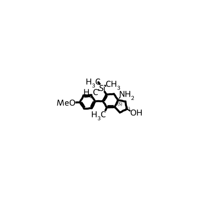 COc1ccc(C2=C([Si](C)(C)C)C[C@@]3(N)C[C@@H](O)CC3=C2C)cc1